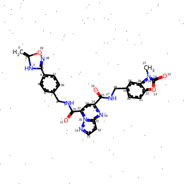 C=C1NC(c2ccc(CNC(=O)c3cc(C(=O)NCc4ccc5oc(=O)n(C)c5c4)nc4ccnn34)cc2)=NO1